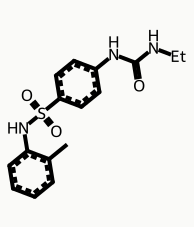 CCNC(=O)Nc1ccc(S(=O)(=O)Nc2ccccc2C)cc1